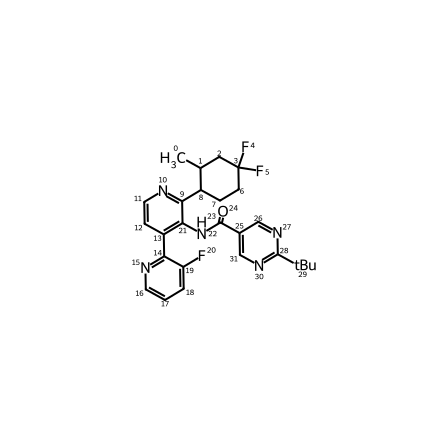 CC1CC(F)(F)CCC1c1nccc(-c2ncccc2F)c1NC(=O)c1cnc(C(C)(C)C)nc1